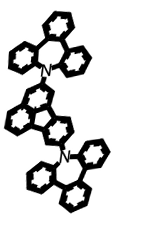 c1ccc2c(c1)-c1ccccc1N(c1ccc3c(c1)-c1cccc4cc(N5c6ccccc6-c6ccccc6-c6ccccc65)cc-3c14)c1ccccc1-2